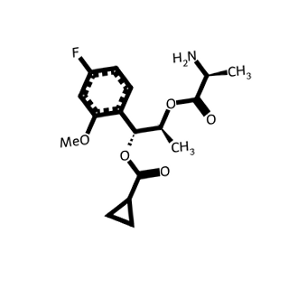 COc1cc(F)ccc1[C@@H](OC(=O)C1CC1)[C@H](C)OC(=O)[C@H](C)N